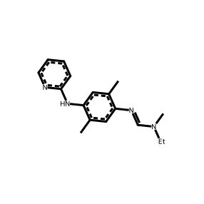 CCN(C)C=Nc1cc(C)c(Nc2ccccn2)cc1C